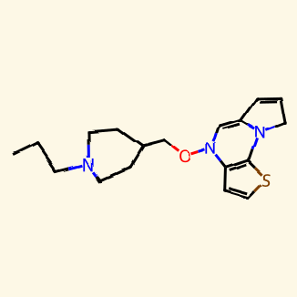 CCCN1CCC(CON2C=C3C=CCN3c3sccc32)CC1